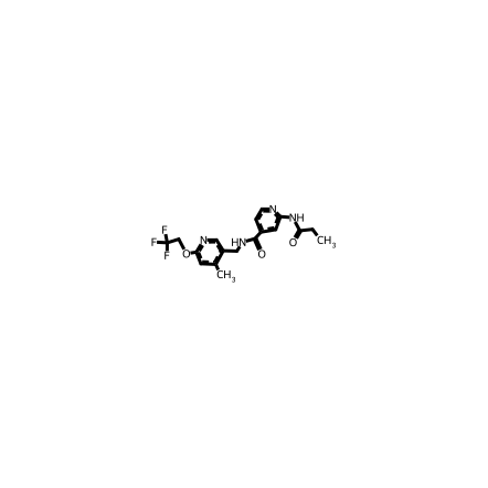 CCC(=O)Nc1cc(C(=O)NCc2cnc(OCC(F)(F)F)cc2C)ccn1